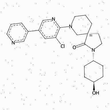 O=C1N([C@H]2CC[C@H](O)CC2)CC[C@]12CCCN(c1ncc(-c3cccnc3)cc1Cl)C2